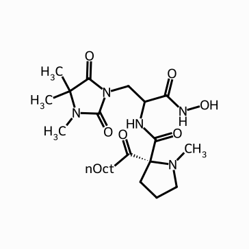 CCCCCCCCC(=O)[C@@]1(C(=O)NC(CN2C(=O)N(C)C(C)(C)C2=O)C(=O)NO)CCCN1C